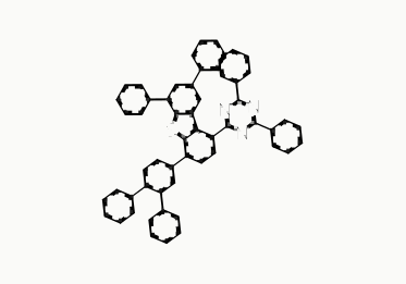 c1ccc(-c2cc(-c3ccccc3)c3sc4c(-c5ccc(-c6ccccc6)c(-c6ccccc6)c5)ccc(-c5nc(-c6ccccc6)nc(-c6ccccc6)n5)c4c3c2)cc1